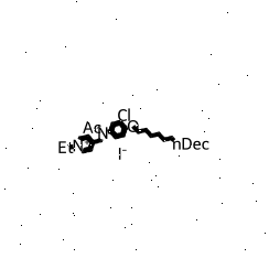 CCCCCCCCCCCCCCCCOc1ccc(N(Cc2cc[n+](CC)cc2)C(C)=O)cc1Cl.[I-]